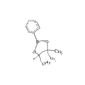 CC1(C)OB(c2ccccc2)OC1(C)I